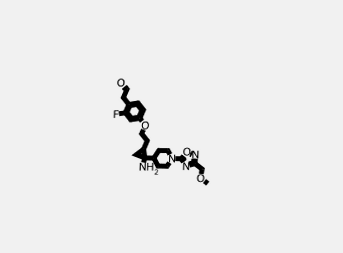 COCc1noc(N2CCC(C3(N)CC3CCOc3ccc(CC=O)c(F)c3)CC2)n1